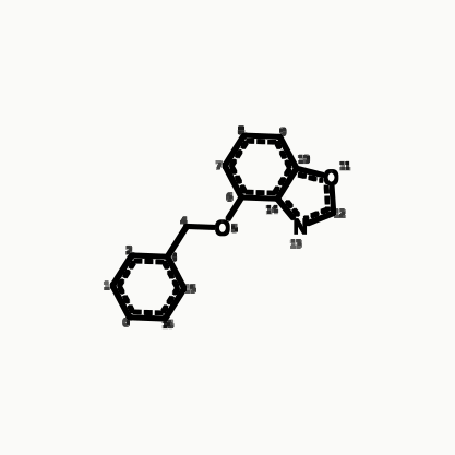 c1ccc(COc2cccc3ocnc23)cc1